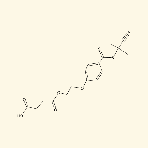 CC(C)(C#N)SC(=S)c1ccc(OCCOC(=O)CCC(=O)O)cc1